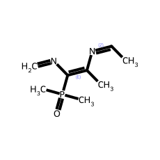 C=N/C(=C(C)\N=C/C)P(C)(C)=O